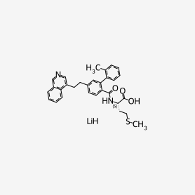 CSCC[C@H](NC(=O)c1ccc(CCc2cncc3ccccc23)cc1-c1ccccc1C)C(=O)O.[LiH]